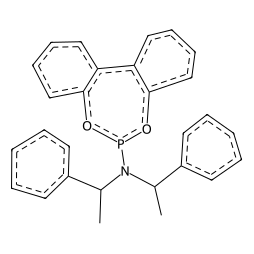 CC(c1ccccc1)N(C(C)c1ccccc1)p1oc2ccccc2c2ccccc2o1